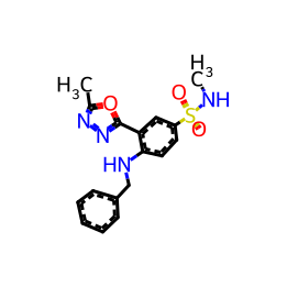 CNS(=O)(=O)c1ccc(NCc2ccccc2)c(-c2nnc(C)o2)c1